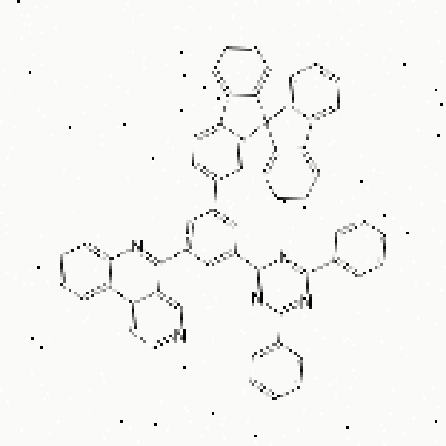 c1ccc(-c2nc(-c3ccccc3)nc(-c3cc(-c4ccc5c(c4)C4(c6ccccc6-c6ccccc64)c4ccccc4-5)cc(-c4nc5ccccc5c5ccncc45)c3)n2)cc1